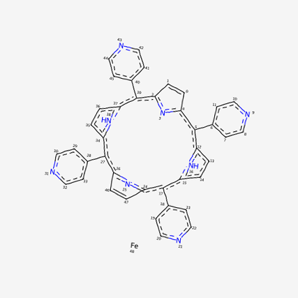 C1=Cc2nc1c(-c1ccncc1)c1ccc([nH]1)c(-c1ccncc1)c1nc(c(-c3ccncc3)c3ccc([nH]3)c2-c2ccncc2)C=C1.[Fe]